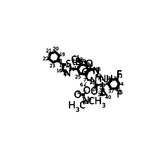 CN(C)C(=O)OC[C@H](c1ccc(Cl)c(-c2ncc(-c3ccccc3)s2)c1)N1C(=O)[C@](c2cc(F)cc(F)c2)(C2CC2)N/C1=N/C(=O)OC(C)(C)C